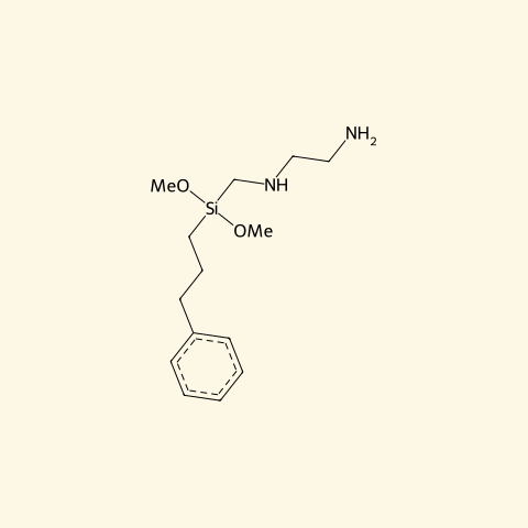 CO[Si](CCCc1ccccc1)(CNCCN)OC